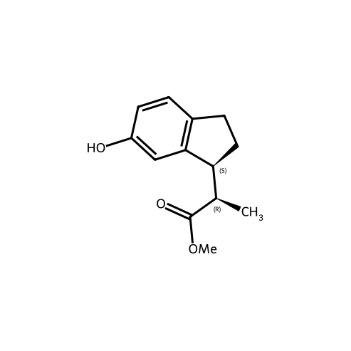 COC(=O)[C@H](C)[C@@H]1CCc2ccc(O)cc21